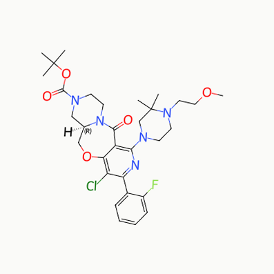 COCCN1CCN(c2nc(-c3ccccc3F)c(Cl)c3c2C(=O)N2CCN(C(=O)OC(C)(C)C)C[C@@H]2CO3)CC1(C)C